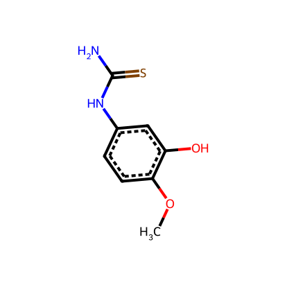 COc1ccc(NC(N)=S)cc1O